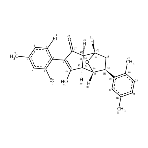 CCc1cc(C)cc(CC)c1C1=C(O)[C@@H]2[C@@H]3O[C@@H](C[C@H]3c3cc(C)ccc3C)[C@@H]2C1=O